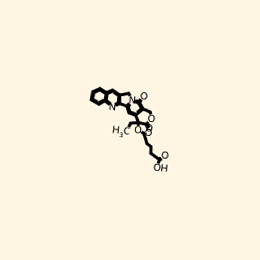 CCC1(OC(=O)CCCC(=O)O)C(=O)OCc2c1cc1n(c2=O)Cc2cc3ccccc3nc2-1